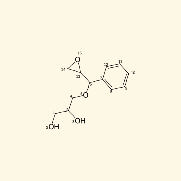 OCC(O)COC(c1ccccc1)C1CO1